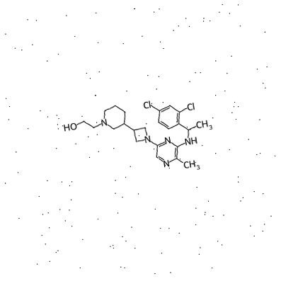 Cc1ncc(N2CC(C3CCCN(CCO)C3)C2)nc1NC(C)c1ccc(Cl)cc1Cl